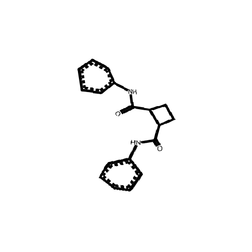 O=C(Nc1ccccc1)C1CCC1C(=O)Nc1ccccc1